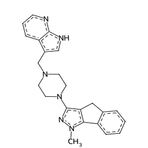 Cn1nc(N2CCN(Cc3c[nH]c4ncccc34)CC2)c2c1-c1ccccc1C2